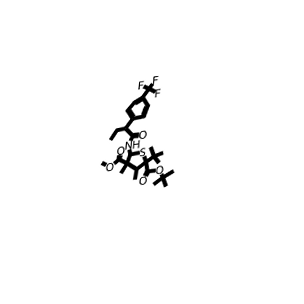 CCC(C(=O)NC1SC(C(=O)OC(C)(C)C)(C(C)(C)C)C(C)C1(C)C(=O)OC)c1ccc(C(F)(F)F)cc1